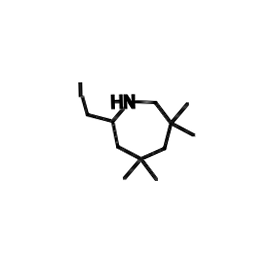 CC1(C)CNC(CI)CC(C)(C)C1